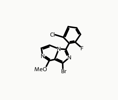 COc1nccn2c(-c3c(F)cccc3Cl)nc(Br)c12